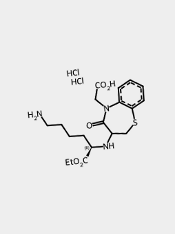 CCOC(=O)[C@@H](CCCCN)NC1CSc2ccccc2N(CC(=O)O)C1=O.Cl.Cl